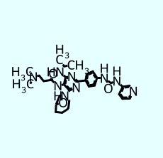 CC(C)Nc1nc(-c2ccc(NC(=O)Nc3cccnc3)cc2)nc(N2CC3CCC(C2)O3)c1NC(=O)CCN(C)C